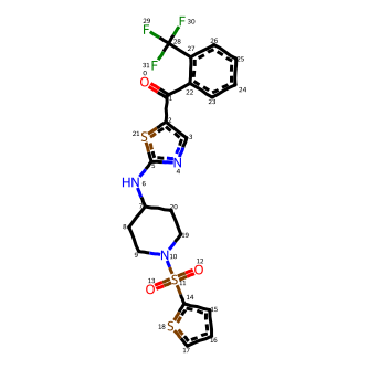 O=C(c1cnc(NC2CCN(S(=O)(=O)c3cccs3)CC2)s1)c1ccccc1C(F)(F)F